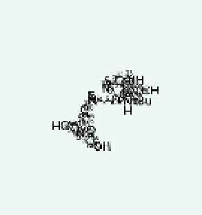 CCN(CCCCCOCC(=O)N[C@H](C(=O)N1C[C@@H](O)C[C@H]1C(=O)N[C@@H](C)c1ccc(-c2scnc2C)cc1)C(C)(C)C)CCOc1ccc(C(=O)c2c(-c3ccc(O)cc3)sc3cc(O)ccc23)cc1